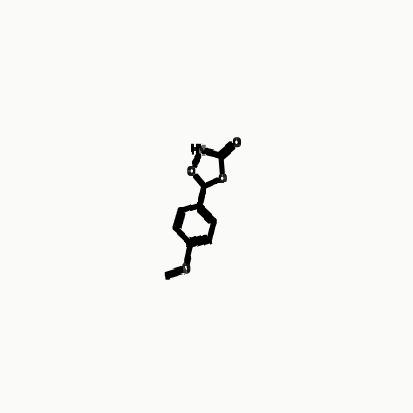 COc1ccc(C2ONC(=O)O2)cc1